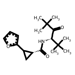 CC(C)(C)C(=O)[C@@H](NC(=O)[C@@H]1CC1c1ccco1)C(C)(C)C